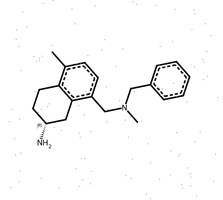 Cc1ccc(CN(C)Cc2ccccc2)c2c1CC[C@@H](N)C2